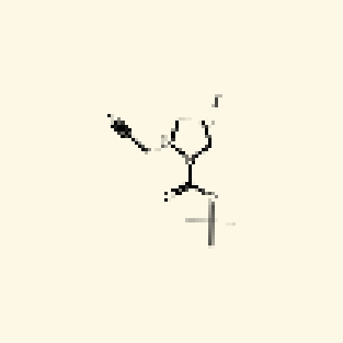 CC(C)(C)OC(=O)N1C[C@@H](F)C[C@H]1CC#N